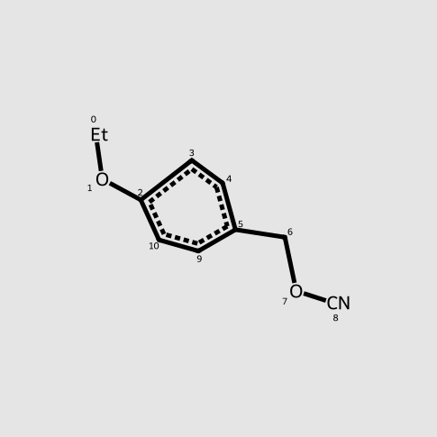 CCOc1ccc(COC#N)cc1